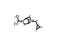 CCC(CC)N1CC2CC1CN2CC1CC1